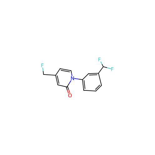 O=c1cc(CF)ccn1-c1cccc(C(F)F)c1